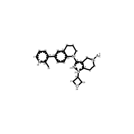 CC(=O)N1CCc2c(c(N3CCCc4cc(-c5cccnc5C)ccc43)nn2C2COC2)C1